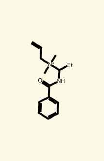 C=CC[N+](C)(C)C(CC)NC(=O)c1ccccc1